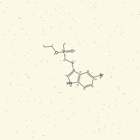 CCOP(C)(=O)CSc1c[nH]c2ccc(Br)cc12